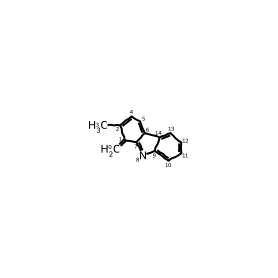 C=c1c(C)ccc2c1=Nc1ccccc1-2